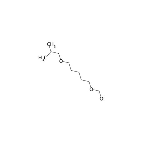 CC(C)COCCCCCOC[O]